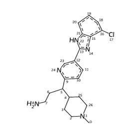 CN1CCC(C(CCN)c2ccc(-c3nc4c(Cl)cccc4[nH]3)cn2)CC1